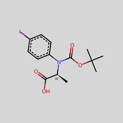 C[C@@H](C(=O)O)N(C(=O)OC(C)(C)C)c1ccc(I)cc1